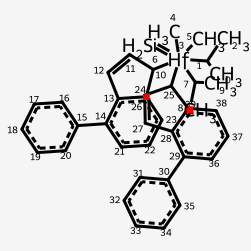 C[CH](C)[Hf]([CH3])([CH3])(=[SiH2])([CH](C)C)([CH]1C=Cc2c(-c3ccccc3)cccc21)[CH]1C=Cc2c(-c3ccccc3)cccc21